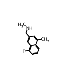 [CH2]c1cc(CNC)cc2c(F)cccc12